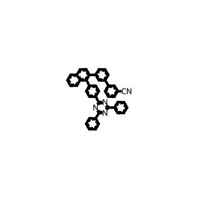 N#Cc1cccc(-c2cccc(-c3ccc4ccccc4c3-c3ccc(-c4nc(-c5ccccc5)nc(-c5ccccc5)n4)cc3)c2)c1